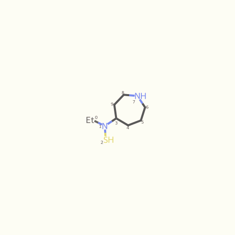 CCN(S)C1CCCNCC1